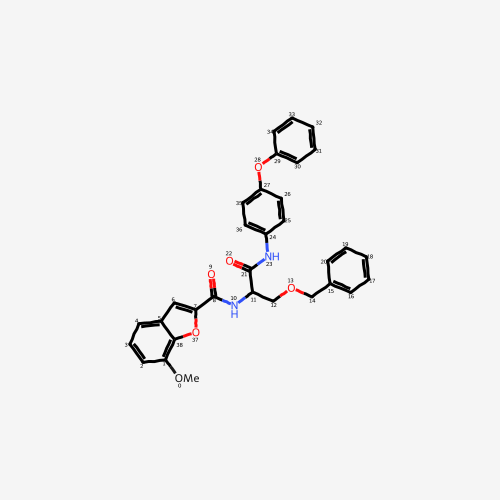 COc1cccc2cc(C(=O)NC(COCc3ccccc3)C(=O)Nc3ccc(Oc4ccccc4)cc3)oc12